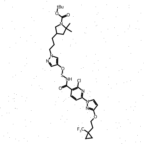 CC(C)(C)OC(=O)N1CC(CCCn2cc(OSNC(=O)c3ccc(-n4ccc(OCCC5(C(F)(F)F)CC5)n4)nc3Cl)cn2)CC1(C)C